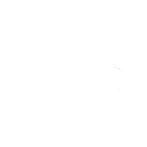 COC(=O)c1ccc2c(c1)CC1C3C=C4CC5=CC6C7c8c9c%10c%11c%12c%13c%14c%15c(c%16c%13c%13c(c4c5c7c%13c8%12)C%163)C1(CC%15=CC(C=C%10CC91Cc3ccc(C(=O)OC)cc3CC61)C%14%11)C2